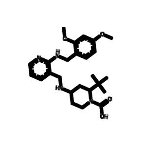 COc1ccc(CNc2ncccc2CNC2CCN(C(=O)O)C(C(C)(C)C)C2)c(OC)c1